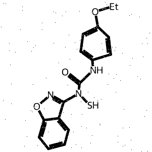 CCOc1ccc(NC(=O)N(S)c2noc3ccccc23)cc1